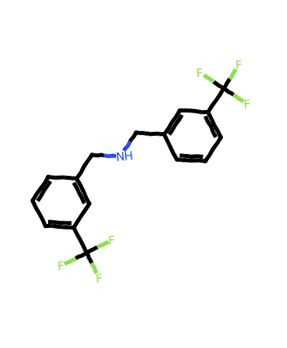 FC(F)(F)c1cccc(CNCc2cccc(C(F)(F)F)c2)c1